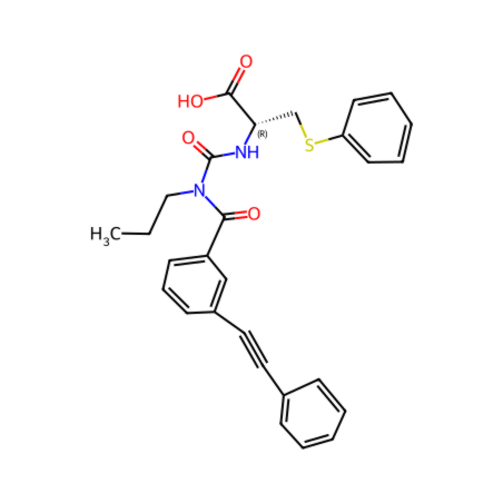 CCCN(C(=O)N[C@@H](CSc1ccccc1)C(=O)O)C(=O)c1cccc(C#Cc2ccccc2)c1